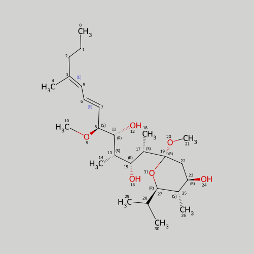 CCC/C(C)=C/C=C/[C@H](OC)[C@H](O)[C@@H](C)[C@@H](O)[C@H](C)[C@@]1(OC)C[C@@H](O)[C@H](C)[C@@H](C(C)C)O1